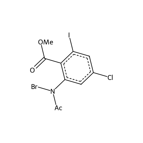 COC(=O)c1c(I)cc(Cl)cc1N(Br)C(C)=O